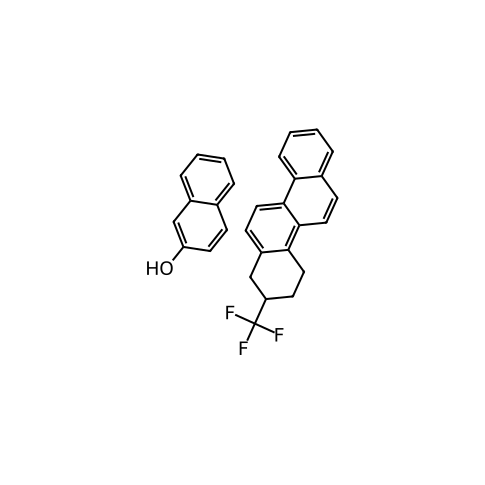 FC(F)(F)C1CCc2c(ccc3c2ccc2ccccc23)C1.Oc1ccc2ccccc2c1